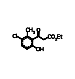 CCOC(=O)CC(=O)c1c(O)ccc(Cl)c1C